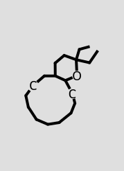 CCC1(CC)CCC2CCCCCCCCCCC2O1